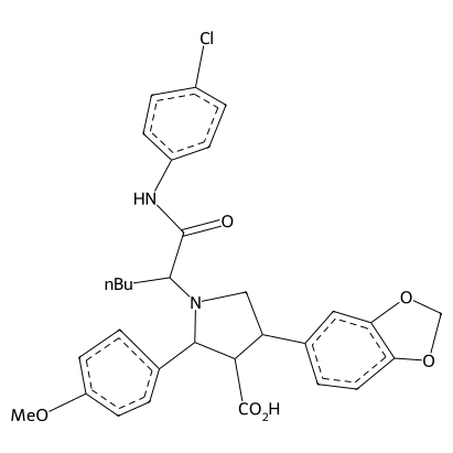 CCCCC(C(=O)Nc1ccc(Cl)cc1)N1CC(c2ccc3c(c2)OCO3)C(C(=O)O)C1c1ccc(OC)cc1